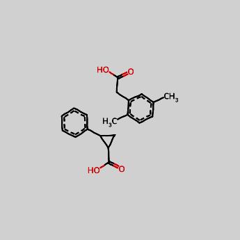 Cc1ccc(C)c(CC(=O)O)c1.O=C(O)C1CC1c1ccccc1